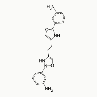 Nc1cccc(N2NC(CCC3=CON(c4cccc(N)c4)N3)=CO2)c1